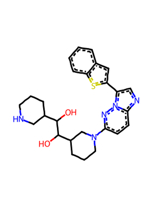 OC(C1CCCNC1)C(O)C1CCCN(c2ccc3ncc(-c4cc5ccccc5s4)n3n2)C1